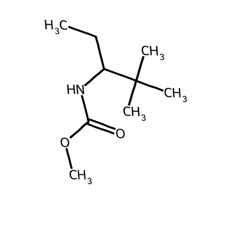 CCC(NC(=O)OC)C(C)(C)C